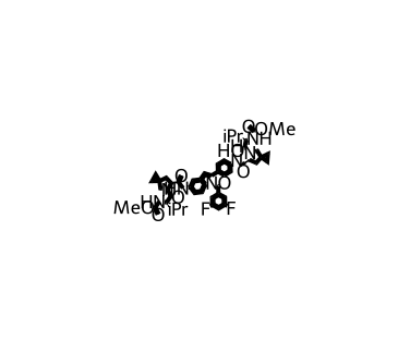 COC(=O)N[C@@H](C(C)C)C(O)N1CC2(CC2)C[C@H]1C(=O)Nc1ccc2c(c1)OC(c1cc(F)cc(F)c1)n1c-2cc2cc(NC(=O)[C@@H]3CC4(CC4)CN3C(=O)[C@@H](NC(=O)OC)C(C)C)ccc21